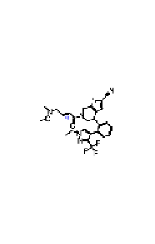 CCn1cc(-c2ccccc2C2CN(C(=O)/C=C/CN(C)OC)Cc3sc(C#N)cc32)c(C(F)(F)F)n1